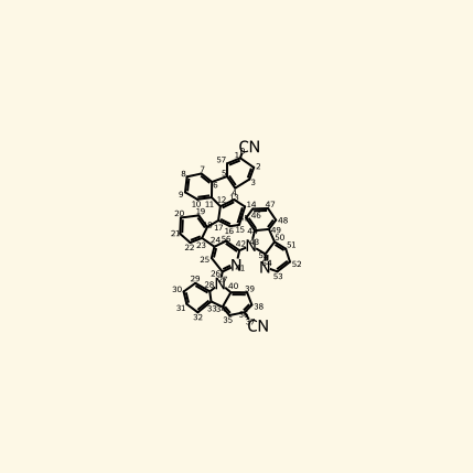 N#Cc1cccc(-c2ccccc2-c2ccccc2-c2ccccc2-c2cc(-n3c4ccccc4c4cc(C#N)ccc43)nc(-n3c4ccccc4c4cccnc43)c2)c1